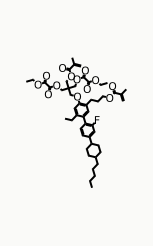 C=C(C)C(=O)OCCCc1cc(-c2ccc(C3CCC(CCCCC)CC3)cc2F)c(CC)cc1OCC(COC(=O)C(=C)C)(COC(=O)C(=O)OCC)COC(=O)C(=O)OCC